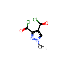 Cn1cc(C(=O)Cl)c(C(=O)Cl)n1